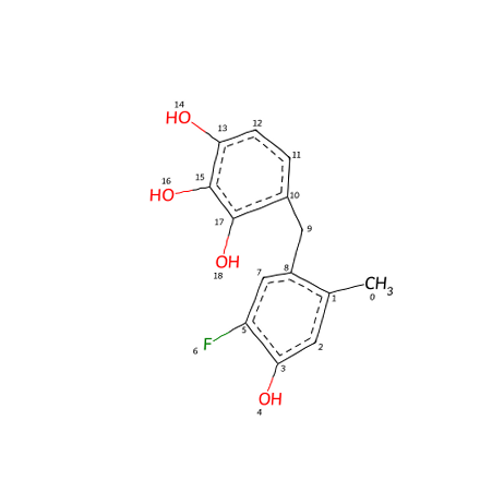 Cc1cc(O)c(F)cc1Cc1ccc(O)c(O)c1O